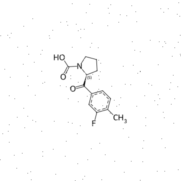 Cc1ccc(C(=O)[C@@H]2CCCN2C(=O)O)cc1F